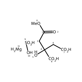 COC(=O)CC(O)(CC(=O)O)C(=O)O.O=S(=O)(O)O.[MgH2]